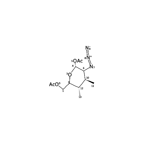 CC(=O)OCC1O[C@H](OC(C)=O)C(N=[N+]=[N-])[C@@H](C)[C@@H]1C